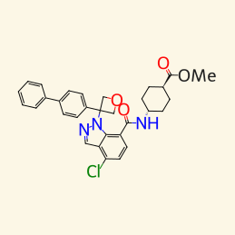 COC(=O)[C@H]1CC[C@H](NC(=O)c2ccc(Cl)c3cnn(C4(c5ccc(-c6ccccc6)cc5)COC4)c23)CC1